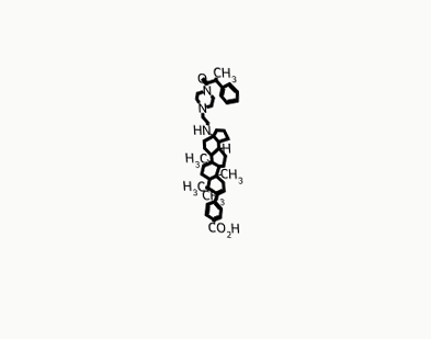 CC(C(=O)N1CCN(CCN[C@]23CCCC2[C@H]2CCC4[C@@](C)(CCC5C(C)(C)C(c6ccc(C(=O)O)cc6)=CC[C@@]54C)C2CC3)CC1)c1ccccc1